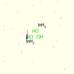 Cl.Cl.Cl.[InH2][I].[InH3]